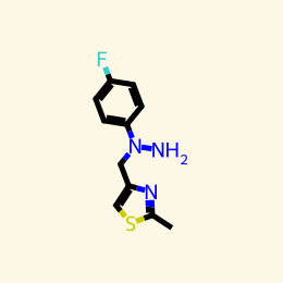 Cc1nc(CN(N)c2ccc(F)cc2)cs1